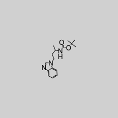 CC(CCn1cnc2ccccc21)NC(=O)OC(C)(C)C